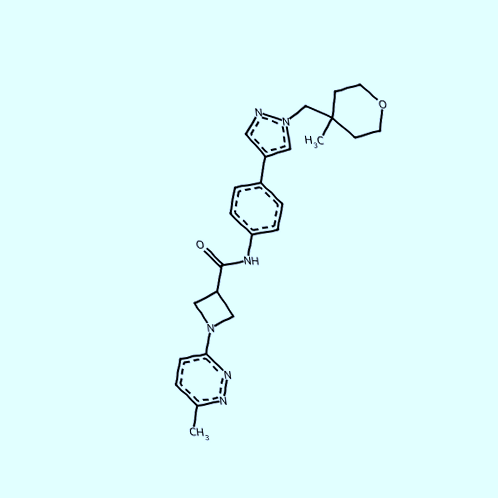 Cc1ccc(N2CC(C(=O)Nc3ccc(-c4cnn(CC5(C)CCOCC5)c4)cc3)C2)nn1